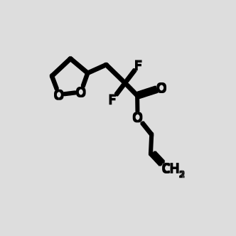 C=CCOC(=O)C(F)(F)CC1CCOO1